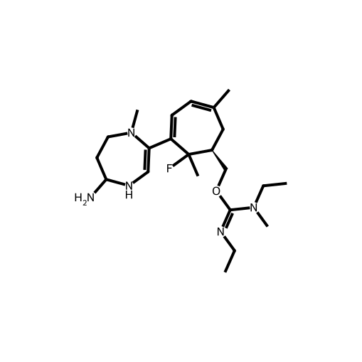 CC/N=C(/OC[C@@H]1CC(C)=CC=C(C2=CNC(N)CCN2C)C1(C)F)N(C)CC